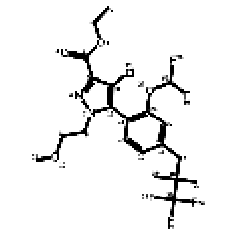 CCOC(=O)c1nn(CCOC)c(-c2ccc(CC(C)(C)C(F)(F)F)cc2OC(F)F)c1Cl